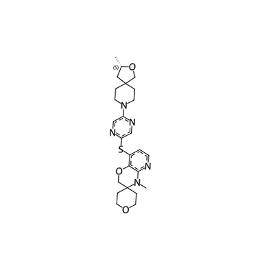 C[C@H]1CC2(CCN(c3cnc(Sc4ccnc5c4OCC4(CCOCC4)N5C)cn3)CC2)CO1